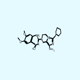 COc1cc2[nH]c(N3CCn4c(C5CCCCC5)nc(N)c4C3)nc(=O)c2cc1OC